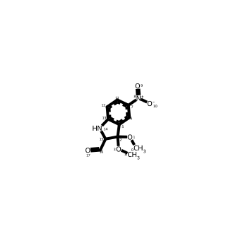 COC1(OC)c2cc([N+](=O)[O-])ccc2NC1C=O